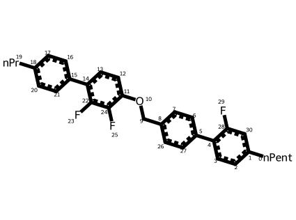 CCCCCc1ccc(-c2ccc(COc3ccc(-c4ccc(CCC)cc4)c(F)c3F)cc2)c(F)c1